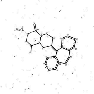 CN[C@H]1CC(C)C2CC(=C3c4ccccc4C=Cc4ccccc43)CCN2C1=O